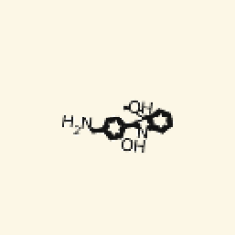 CO.NCc1ccc(-c2nc3ccccc3s2)c(O)c1